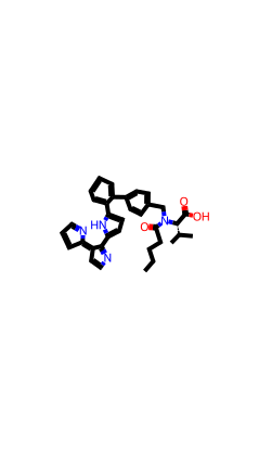 CCCCC(=O)N(Cc1ccc(-c2ccccc2-c2ccc(C3=NC=CC3=C3C=CC=N3)[nH]2)cc1)[C@H](C(=O)O)C(C)C